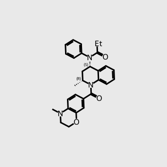 CCC(=O)N(c1ccccc1)[C@H]1C[C@@H](C)N(C(=O)c2ccc3c(c2)OCCN3C)c2ccccc21